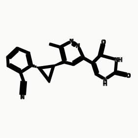 Cc1nnc(-c2c[nH]c(=O)[nH]c2=O)cc1[C@H]1C[C@@H]1c1ccccc1C#N